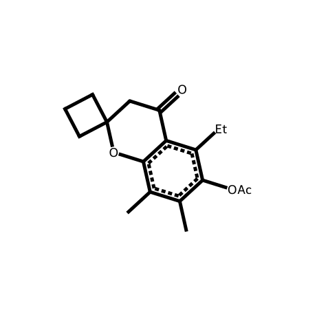 CCc1c(OC(C)=O)c(C)c(C)c2c1C(=O)CC1(CCC1)O2